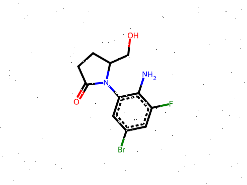 Nc1c(F)cc(Br)cc1N1C(=O)CCC1CO